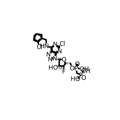 O=P(O)(O)CP(=O)(O)OC[C@H]1O[C@@H](n2nnc3c(NCc4ccccc4Cl)nc(Cl)nc32)[C@H](O)[C@@H]1F